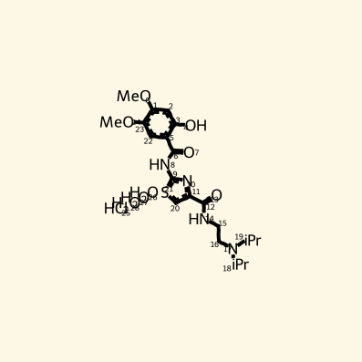 COc1cc(O)c(C(=O)Nc2nc(C(=O)NCCN(C(C)C)C(C)C)cs2)cc1OC.Cl.O.O.O